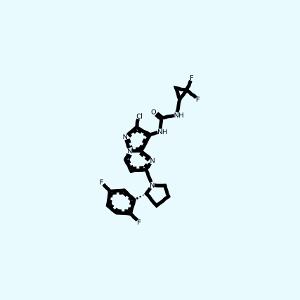 O=C(Nc1c(Cl)nn2ccc(N3CCC[C@@H]3c3cc(F)ccc3F)nc12)NC1CC1(F)F